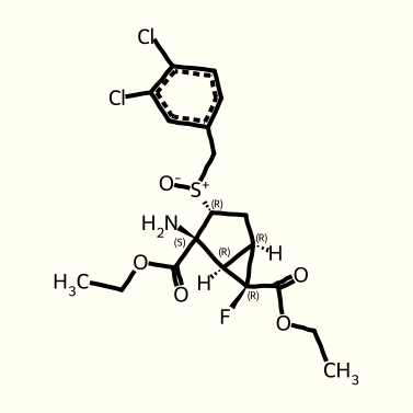 CCOC(=O)[C@@]1(N)[C@H]2[C@@H](C[C@H]1[S+]([O-])Cc1ccc(Cl)c(Cl)c1)[C@]2(F)C(=O)OCC